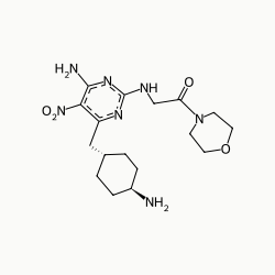 Nc1nc(NCC(=O)N2CCOCC2)nc(C[C@H]2CC[C@H](N)CC2)c1[N+](=O)[O-]